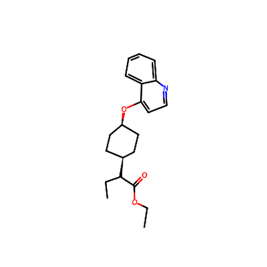 CCOC(=O)C(CC)[C@H]1CC[C@@H](Oc2ccnc3ccccc23)CC1